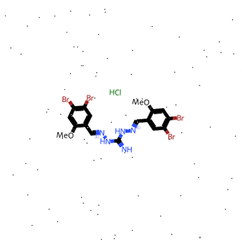 COc1cc(Br)c(Br)cc1/C=N/NC(=N)N/N=C/c1cc(Br)c(Br)cc1OC.Cl